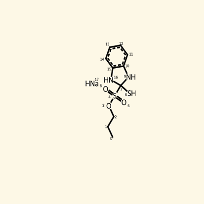 CCCOS(=O)(=O)C1(S)Nc2ccccc2N1.[NaH]